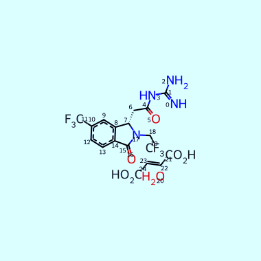 N=C(N)NC(=O)C[C@H]1c2cc(C(F)(F)F)ccc2C(=O)N1CC(F)(F)F.O.O=C(O)/C=C/C(=O)O